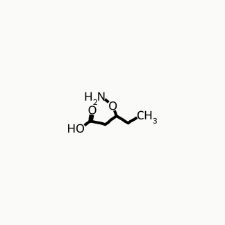 CCC(CC(=O)O)ON